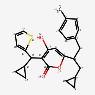 Cc1ccc(CC(CC2CC2)c2cc(O)c(C(c3cccs3)C3CC3)c(=O)o2)cc1